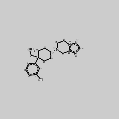 NC[C@]1(c2cccc(Cl)c2)CC[C@@H](N2CCn3ncnc3C2)CC1